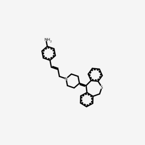 Nc1ccc(C=CCN2CCC(=C3c4ccccc4CSc4ccccc43)CC2)cc1